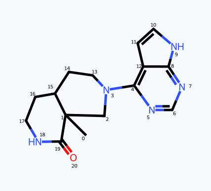 CC12CN(c3ncnc4[nH]ccc34)CCC1CCNC2=O